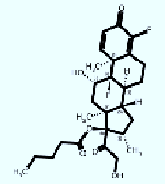 CCCCC(=O)O[C@]1(C(=O)CO)[C@@H](C)C[C@H]2[C@@H]3CCC4=C(F)C(=O)C=C[C@]4(C)[C@@]3(F)[C@@H](O)C[C@@]21C